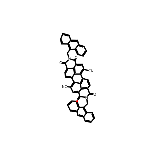 N#Cc1cc2c3c(ccc4c5c(C#N)cc6c7c(ccc(c1c34)c75)C(=O)N(Cc1c3ccccc3cc3ccccc13)C6=O)C(=O)N(Cc1c3ccccc3cc3ccccc13)C2=O